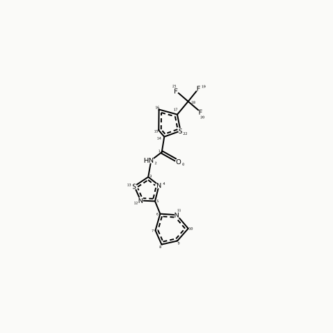 O=C(Nc1nc(-c2ccccn2)ns1)c1ccc(C(F)(F)F)s1